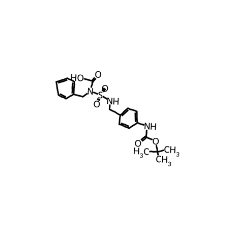 CC(C)(C)OC(=O)Nc1ccc(CNS(=O)(=O)N(Cc2ccccc2)C(=O)O)cc1